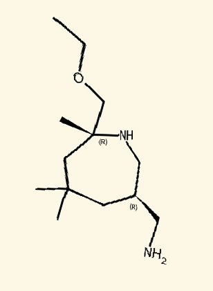 CCOC[C@@]1(C)CC(C)(C)C[C@H](CN)CN1